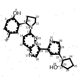 Oc1ccc(F)cc1[C@H]1CCCN1c1ccc2ncc(-c3cc([C@H]4CCC[C@@H]4O)ccn3)n2n1